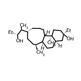 CC[C@@H](O)[C@@H](C)[C@@H]1CCC[C@H]2[C@@H](CC[C@@H]3C[C@@](O)(CC)CC[C@@]32C)[C@@H](C)CC1